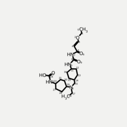 CCOC=CC(=O)NC(=O)NC1CCC(CN(CC)C2CCC(NC(=O)O)CC2)CC1